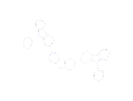 c1ccc(-n2c3ccccc3c3ccc(-c4cc5c(cn4)Cc4cnc(-c6ccc7c8ccccc8n(-c8ccccc8)c7c6)nc4-5)cc32)cc1